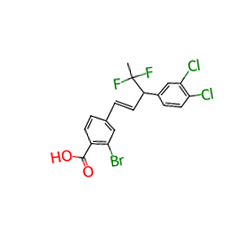 CC(F)(F)C(C=Cc1ccc(C(=O)O)c(Br)c1)c1ccc(Cl)c(Cl)c1